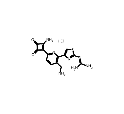 Cl.NCc1ccc(-c2c(N)c(=O)c2=O)nc1-c1csc(N=C(N)N)n1